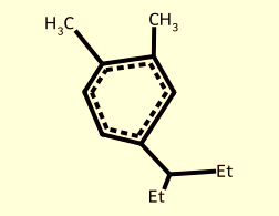 [CH2]CC(CC)c1ccc(C)c(C)c1